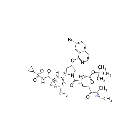 C=C[C@@H]1C[C@]1(NC(=O)[C@@H]1CC(Oc2nccc3ccc(Br)cc23)CN1C(=O)[C@H](CCC(=O)/C(C)=C/C)NC(=O)OC(C)(C)C)C(=O)NS(=O)(=O)C1CC1